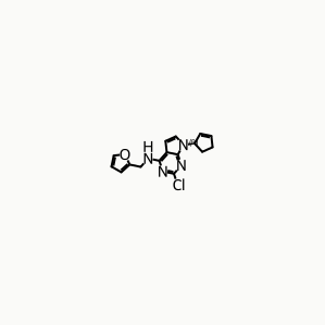 Clc1nc(NCc2ccco2)c2ccn([C@H]3C=CCC3)c2n1